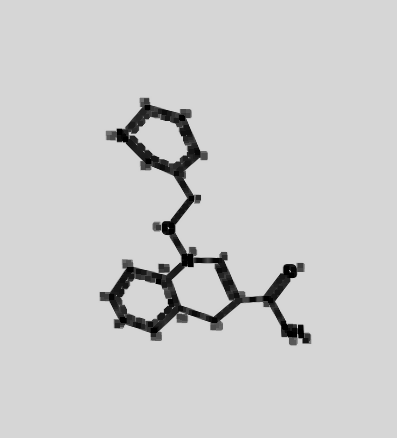 NC(=O)C1=CN(OCc2cccnc2)c2ccccc2C1